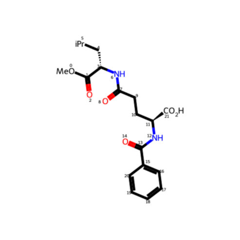 COC(=O)[C@H](CC(C)C)NC(=O)CC[C@H](NC(=O)c1ccccc1)C(=O)O